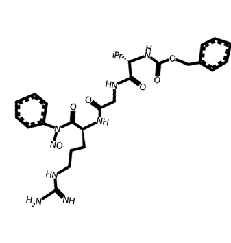 CC(C)[C@H](NC(=O)OCc1ccccc1)C(=O)NCC(=O)N[C@@H](CCCNC(=N)N)C(=O)N([N+]=O)c1ccccc1